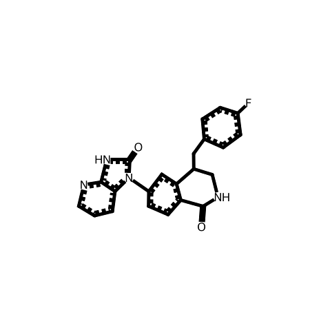 O=C1NCC(Cc2ccc(F)cc2)c2cc(-n3c(=O)[nH]c4ncccc43)ccc21